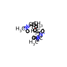 C=C(C=NN(CC)c1ccccc1)C(C)(Cc1ccc(CC2(C)C(C=NN(CC)c3ccccc3)=[N+](CC)c3ccccc32)cc1)c1ccccc1C